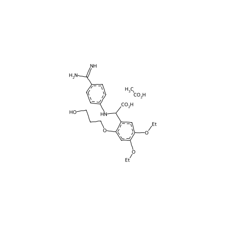 CC(=O)O.CCOc1cc(OCCCO)c(C(Nc2ccc(C(=N)N)cc2)C(=O)O)cc1OCC